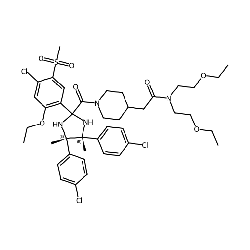 CCOCCN(CCOCC)C(=O)CC1CCN(C(=O)C2(c3cc(S(C)(=O)=O)c(Cl)cc3OCC)N[C@@](C)(c3ccc(Cl)cc3)[C@@](C)(c3ccc(Cl)cc3)N2)CC1